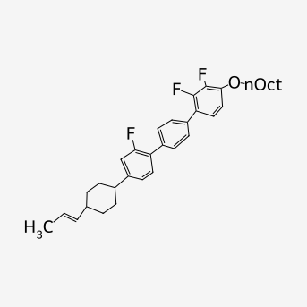 C/C=C/C1CCC(c2ccc(-c3ccc(-c4ccc(OCCCCCCCC)c(F)c4F)cc3)c(F)c2)CC1